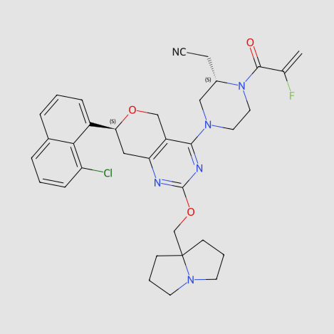 C=C(F)C(=O)N1CCN(c2nc(OCC34CCCN3CCC4)nc3c2CO[C@H](c2cccc4cccc(Cl)c24)C3)C[C@@H]1CC#N